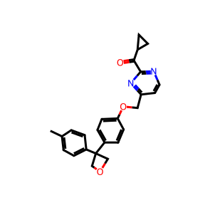 Cc1ccc(C2(c3ccc(OCc4ccnc(C(=O)C5CC5)n4)cc3)COC2)cc1